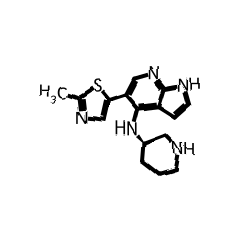 Cc1ncc(-c2cnc3[nH]ccc3c2N[C@@H]2CCCNC2)s1